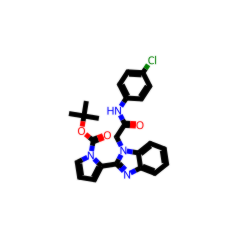 CC(C)(C)OC(=O)n1cccc1-c1nc2ccccc2n1CC(=O)Nc1ccc(Cl)cc1